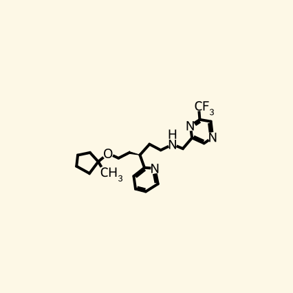 CC1(OCC[C@@H](CCNCc2cncc(C(F)(F)F)n2)c2ccccn2)CCCC1